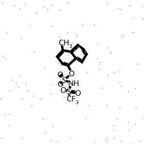 Cc1ccc(OS(=O)(=O)NS(=O)(=O)C(F)(F)F)c2ccccc12